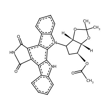 CC(=O)O[C@H]1CC(n2c3ccccc3c3c4c(c5c6ccccc6[nH]c5c32)C(=O)NC4=O)[C@@H]2OC(C)(C)O[C@H]12